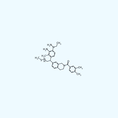 CCN(N)c1ccc(C(CNSC)c2ccc3c(c2)CN(C(=O)c2ccc(C)c(C)c2)CC3)c(C)c1N